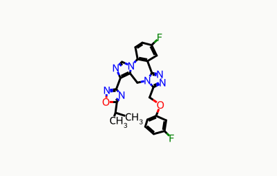 CC(C)c1nc(-c2ncn3c2Cn2c(COc4cccc(F)c4)nnc2-c2cc(F)ccc2-3)no1